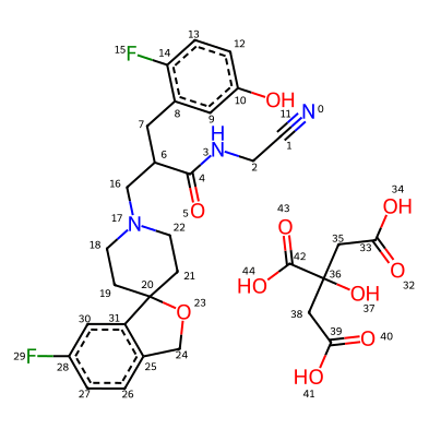 N#CCNC(=O)C(Cc1cc(O)ccc1F)CN1CCC2(CC1)OCc1ccc(F)cc12.O=C(O)CC(O)(CC(=O)O)C(=O)O